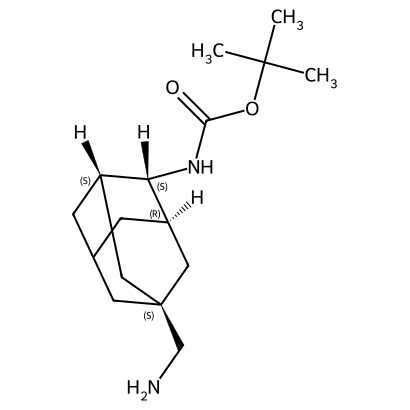 CC(C)(C)OC(=O)N[C@@H]1[C@@H]2CC3C[C@H]1C[C@@](CN)(C3)C2